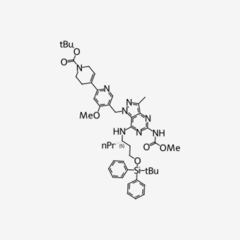 CCC[C@@H](CCO[Si](c1ccccc1)(c1ccccc1)C(C)(C)C)Nc1nc(NC(=O)OC)nc2c(C)nn(Cc3cnc(C4=CCN(C(=O)OC(C)(C)C)CC4)cc3OC)c12